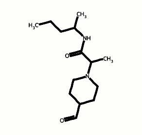 CCCC(C)NC(=O)C(C)N1CCC(C=O)CC1